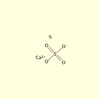 O=S(=O)([O-])[O-].[Ca+2].[S]